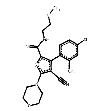 COCCNC(=O)c1sc(N2CCOCC2)c(C#N)c1-c1ccc(Cl)cc1C